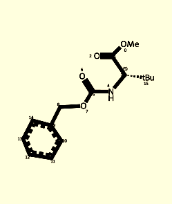 COC(=O)[C@@H](NC(=O)OCc1ccccc1)C(C)(C)C